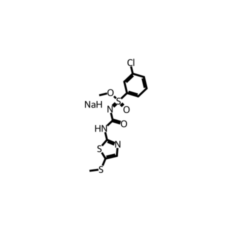 COS(=O)(=NC(=O)Nc1ncc(SC)s1)c1cccc(Cl)c1.[NaH]